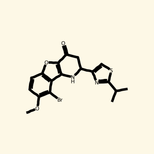 COc1ccc2oc3c(c2c1Br)NC(c1csc(C(C)C)n1)CC3=O